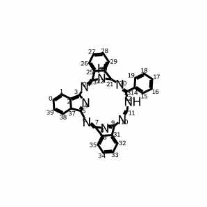 C1=CC2=C3N=C(/N=C4N=C(/N=C\N/C(c5ccccc5)=N\C5N/C(=N\3)c3ccccc35)c3ccccc3\4)C2C=C1